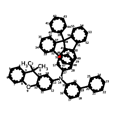 CC1(C)c2ccccc2Oc2ccc(N(c3cccc(-c4ccccc4)c3)c3cccc(-c4ccccc4C4(c5ccccc5)c5ccccc5-c5ccccc54)c3)cc21